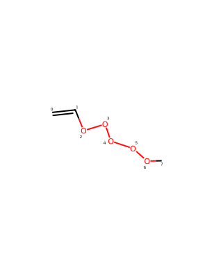 C=COOOOOC